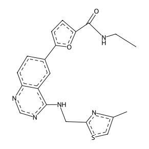 CCNC(=O)c1ccc(-c2ccc3ncnc(NCc4nc(C)cs4)c3c2)o1